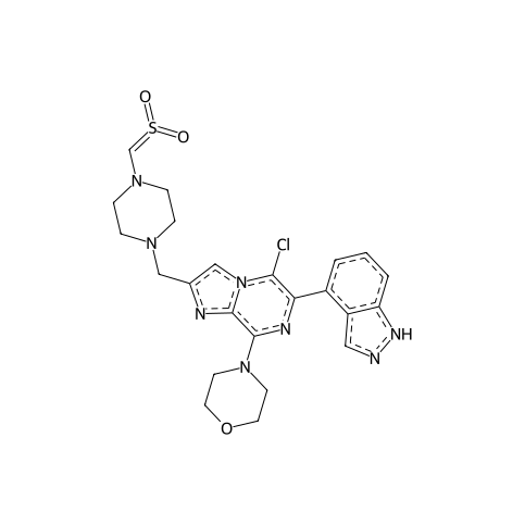 O=S(=O)=CN1CCN(Cc2cn3c(Cl)c(-c4cccc5[nH]ncc45)nc(N4CCOCC4)c3n2)CC1